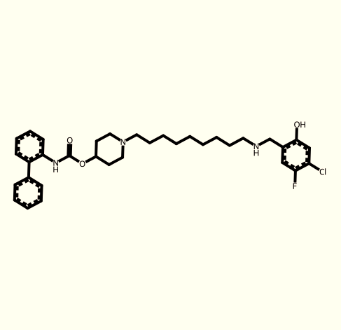 O=C(Nc1ccccc1-c1ccccc1)OC1CCN(CCCCCCCCCNCc2cc(F)c(Cl)cc2O)CC1